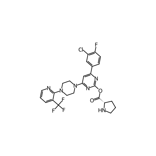 O=C(Oc1nc(-c2ccc(F)c(Cl)c2)cc(N2CCN(c3ncccc3C(F)(F)F)CC2)n1)[C@@H]1CCCN1